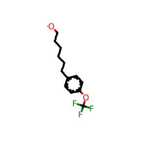 [O]CCCCCCc1ccc(OC(F)(F)F)cc1